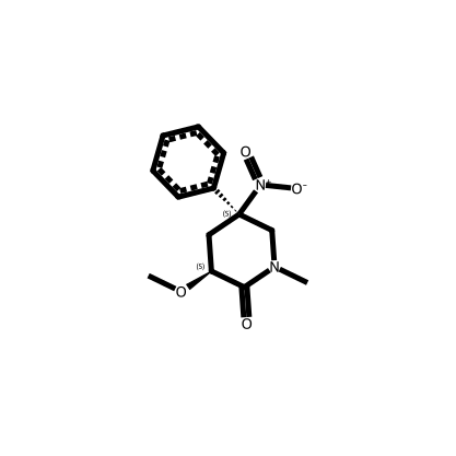 CO[C@H]1C[C@@](c2ccccc2)([N+](=O)[O-])CN(C)C1=O